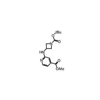 COC(=O)c1ccnc(NC2CN(C(=O)OC(C)(C)C)C2)c1